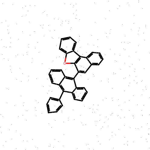 c1ccc(-c2c3ccccc3c(-c3cc4ccccc4c4c3oc3ccccc34)c3ccccc23)cc1